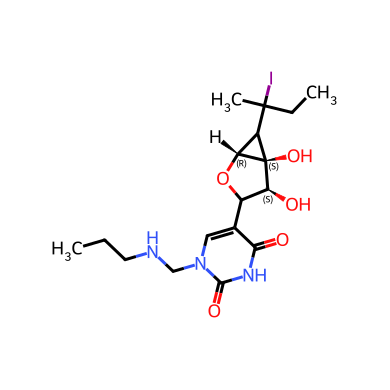 CCCNCn1cc(C2O[C@@H]3C(C(C)(I)CC)[C@]3(O)[C@H]2O)c(=O)[nH]c1=O